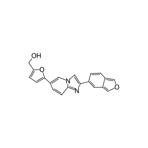 OCc1ccc(-c2ccc3nc(-c4ccc5cocc5c4)cn3c2)o1